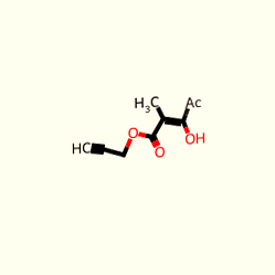 C#CCOC(=O)/C(C)=C(\O)C(C)=O